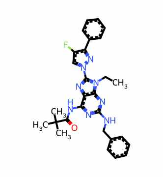 CCn1c(-n2cc(F)c(-c3ccccc3)n2)nc2c(NC(=O)C(C)(C)C)nc(NCc3ccccc3)nc21